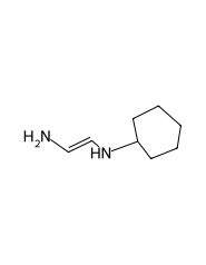 NC=CNC1CCCCC1